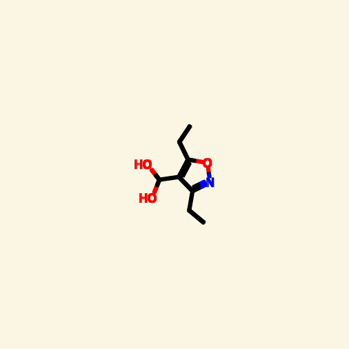 CCc1noc(CC)c1C(O)O